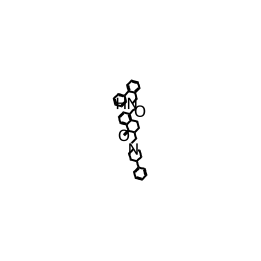 O=C(NCc1ccccc1-c1ccccc1)c1cccc2c1CCC(CCN1CCC(c3ccccc3)CC1)C2=O